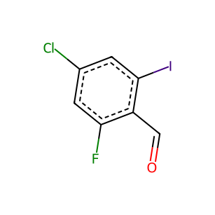 O=Cc1c(F)cc(Cl)cc1I